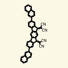 N#CC(C#N)=C1c2cc(-c3ccc4ccccc4c3)ccc2-c2cc3c(cc21)C(=C(C#N)C#N)c1cc(-c2ccc4ccccc4c2)ccc1-3